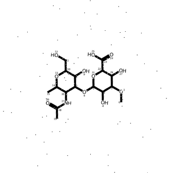 COC1C(O)C(OC2C(O)C(CO)OC(C)C2NC(C)=O)OC(C(=O)O)C1O